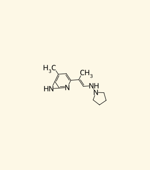 C/C(=C\NN1CCCC1)c1cc(C)c2c(n1)N2